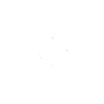 C=CCO[N+](=O)[O-].O=[N+]([O-])OCC(CO[N+](=O)[O-])O[N+](=O)[O-]